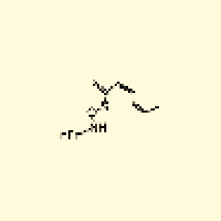 C=C(/C=C\C=C/C)SONCCC